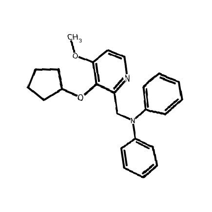 COc1ccnc(CN(c2ccccc2)c2ccccc2)c1OC1CCCC1